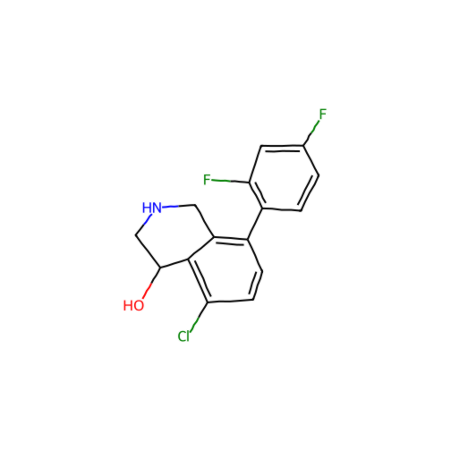 OC1CNCc2c(-c3ccc(F)cc3F)ccc(Cl)c21